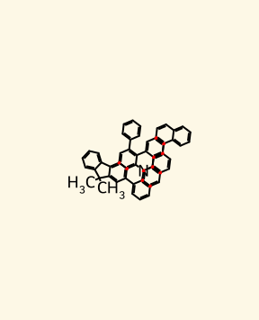 CC1(C)c2ccccc2-c2ccc(-c3ccccc3N(c3cccc(-c4cccc5ccccc45)c3)c3cccc(-c4ccccc4)c3-c3ccccc3-c3ccccc3)cc21